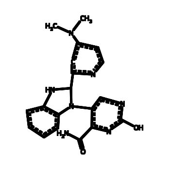 CN(C)c1ccnc(C2Nc3ccccc3N2c2cnc(O)nc2C(N)=O)c1